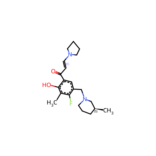 Cc1c(O)c(C(=O)/C=C/N2CCCC2)cc(CN2CCC[C@H](C)C2)c1F